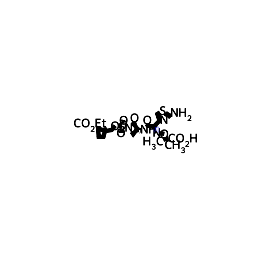 CCOC(=O)C1(COS(=O)(=O)N2C[C@H](NC(=O)/C(=N/OC(C)(C)C(=O)O)c3csc(N)n3)C2=O)CCC1